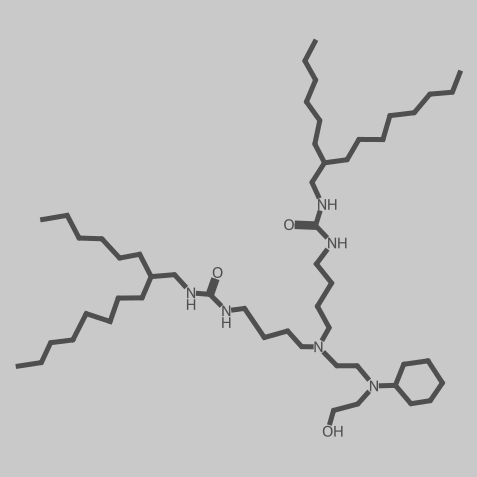 CCCCCCCCC(CCCCCC)CNC(=O)NCCCCN(CCCCNC(=O)NCC(CCCCCC)CCCCCCCC)CCN(CCO)C1CCCCC1